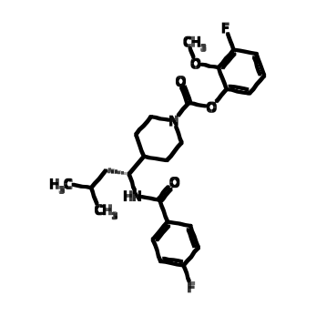 COc1c(F)cccc1OC(=O)N1CCC([C@@H](CC(C)C)NC(=O)c2ccc(F)cc2)CC1